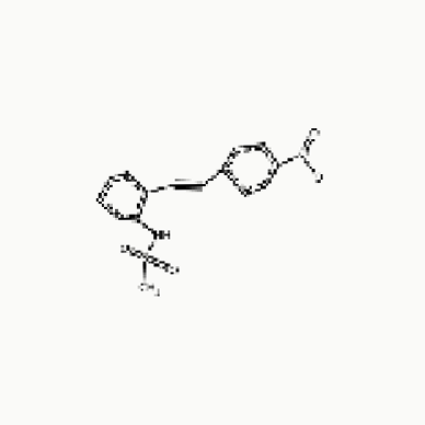 CS(=O)(=O)Nc1ccccc1C#Cc1ccc([N+](=O)[O-])cc1